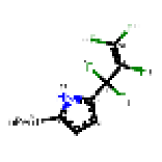 CCCCCc1ccc(C(F)(F)C(F)=C(F)F)[nH]1